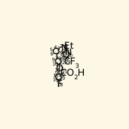 CCN(Cc1cccc(-c2ccc(OCc3ccc(F)cc3C(=O)O)cc2)c1)c1ccc(C(F)(F)F)cn1